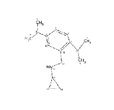 CC(C)c1ccc(C(C)C)c(CNC2CC2)c1